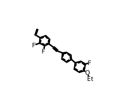 C=Cc1ccc(C#Cc2ccc(-c3ccc(OCC)c(F)c3)cc2)c(F)c1F